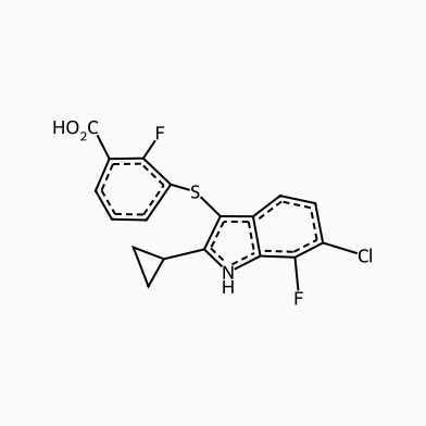 O=C(O)c1cccc(Sc2c(C3CC3)[nH]c3c(F)c(Cl)ccc23)c1F